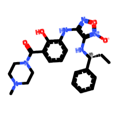 CC[C@@H](Nc1c(Nc2cccc(C(=O)N3CCN(C)CC3)c2O)no[n+]1[O-])c1ccccc1